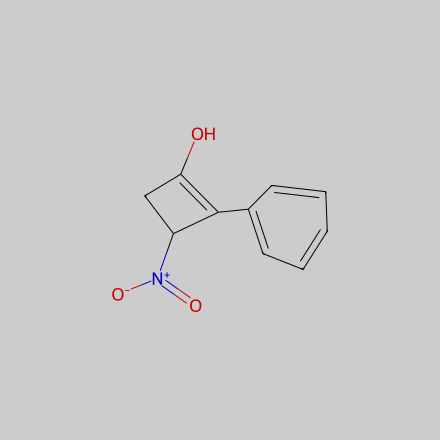 O=[N+]([O-])C1CC(O)=C1c1ccccc1